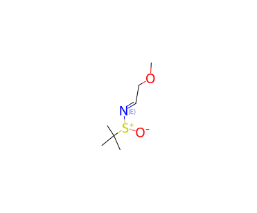 COC/C=N/[S+]([O-])C(C)(C)C